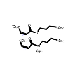 CCCCCCCCCCCCCOC(=O)/C=C\C(=O)[O-].CCCCCCCCCCCCCOC(=O)/C=C\C(=O)[O-].[Ca+2]